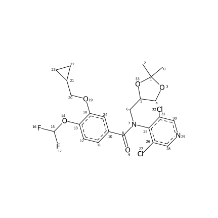 CC1(C)OCC(CN(C(=O)c2ccc(OC(F)F)c(OCC3CC3)c2)c2c(Cl)cncc2Cl)O1